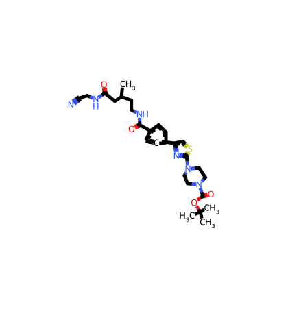 CC(CCNC(=O)c1ccc(-c2csc(N3CCN(C(=O)OC(C)(C)C)CC3)n2)cc1)CC(=O)NCC#N